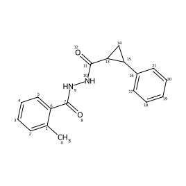 Cc1ccccc1C(=O)NNC(=O)C1CC1c1ccccc1